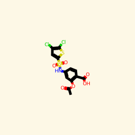 CC(=O)Oc1cc(NS(=O)(=O)c2cc(Cl)c(Cl)s2)ccc1C(=O)O